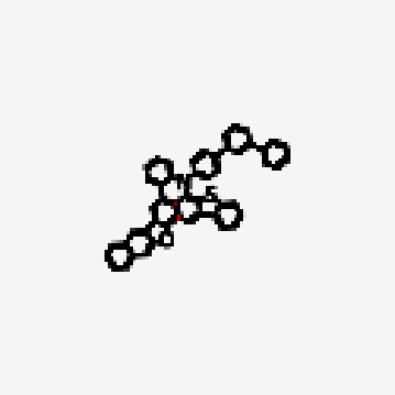 c1ccc(-c2cccc(-c3ccc(N(c4ccccc4-c4ccc5oc6cc7ccccc7cc6c5c4)c4cccc5c4sc4ccccc45)cc3)c2)cc1